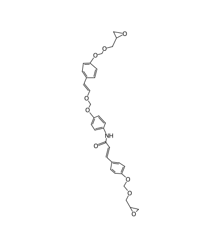 O=C(/C=C/c1ccc(OCOCC2CO2)cc1)Nc1ccc(OCO/C=C/c2ccc(OCOCC3CO3)cc2)cc1